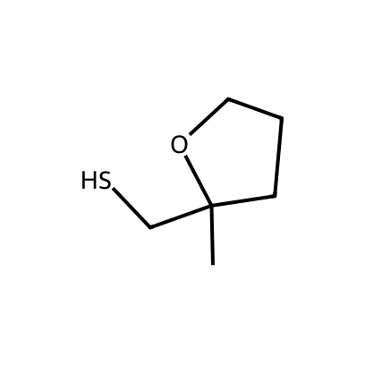 CC1(CS)CCCO1